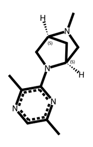 Cc1cnc(C)c(N2C[C@@H]3C[C@H]2CN3C)n1